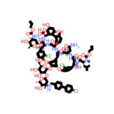 C=CCOC(=O)N[C@@]1(C)C[C@H](O[C@@H]2c3ccc(c(Cl)c3)Oc3cc4cc(c3O[C@@H]3O[C@H](CO)[C@@H](O)[C@H](O)[C@H]3O[C@H]3C[C@](C)(NCc5ccc(-c6ccc(Cl)cc6)cc5)[C@@H](O)[C@H](C)O3)Oc3ccc(cc3Cl)[C@@H](O)[C@@H](NC(=O)[C@@H](CC(C)C)N(C)C(=O)OCC=C)C(=O)N[C@@H](CC(N)=O)C(=O)N[C@H]4C(=O)N[C@H]3C(=O)N[C@@H]2C(=O)N[C@H](C(=O)O)c2cc(O)cc(O)c2-c2cc3ccc2C)O[C@@H](C)[C@@H]1O